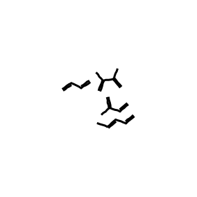 C=C(C)C(=C)C.C=CC(=C)C.C=CC=C.C=CC=CC